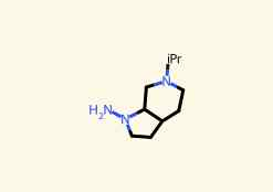 CC(C)N1CCC2CCN(N)C2C1